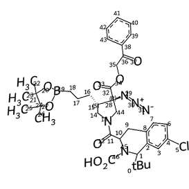 CC(C)(C)C1c2cc(Cl)ccc2CC(C(=O)N2C[C@H](CCCB3OC(C)(C)C(C)(C)O3)[C@](N=[N+]=[N-])(C(=O)OCC(=O)c3ccccc3)C2)N1C(=O)O